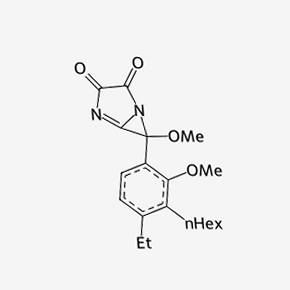 CCCCCCc1c(CC)ccc(C2(OC)C3=NC(=O)C(=O)N32)c1OC